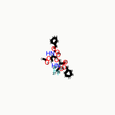 CC(=O)OC(C)C(NC(=O)OCc1ccccc1)C(=O)OC[C@H](NC(=O)C(F)(F)F)C(=O)OCc1ccccc1